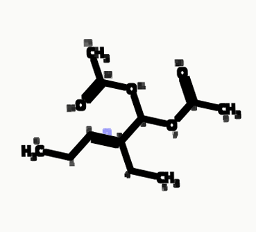 CC/C=C(\CC)C(OC(C)=O)OC(C)=O